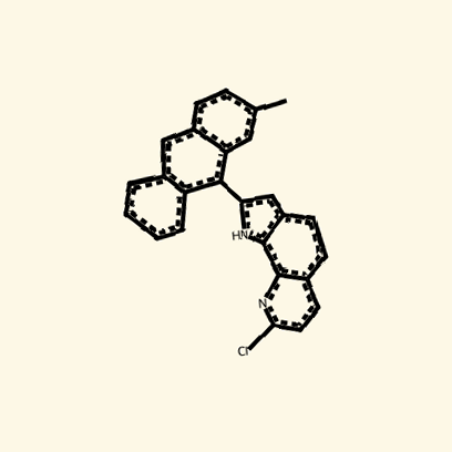 Cc1ccc2cc3ccccc3c(-c3cc4ccc5ccc(Cl)nc5c4[nH]3)c2c1